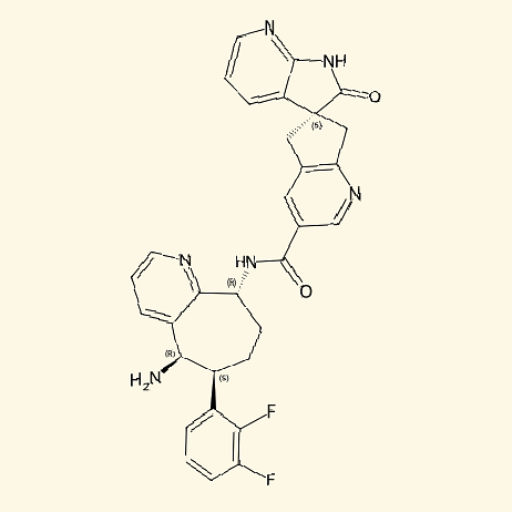 N[C@H]1c2cccnc2[C@H](NC(=O)c2cnc3c(c2)C[C@@]2(C3)C(=O)Nc3ncccc32)CC[C@H]1c1cccc(F)c1F